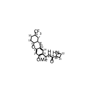 COc1cc(OC2CCC(C(F)(F)F)CC2)c(F)cc1CNC(=O)[C@@H]1CCN1